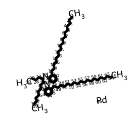 CCCCCCCCCCCCCCCC=CCCc1ccccc1N=C(CCCC)C(CCCCCCCC)=Nc1ccccc1CCC=CCCCCCCCCCCCCCCC.[Pd]